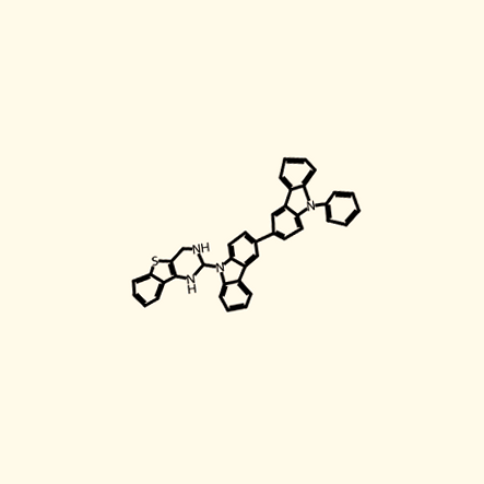 c1ccc(-n2c3ccccc3c3cc(-c4ccc5c(c4)c4ccccc4n5C4NCc5sc6ccccc6c5N4)ccc32)cc1